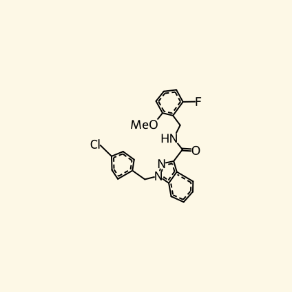 COc1cccc(F)c1CNC(=O)c1nn(Cc2ccc(Cl)cc2)c2ccccc12